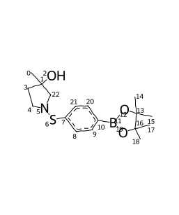 CC1(O)CCN(Sc2ccc(B3OC(C)(C)C(C)(C)O3)cc2)C1